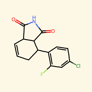 O=C1NC(=O)C2C1C=CCC2c1ccc(Cl)cc1F